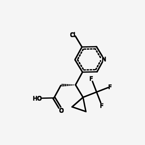 O=C(O)C[C@H](c1cncc(Cl)c1)C1(C(F)(F)F)CC1